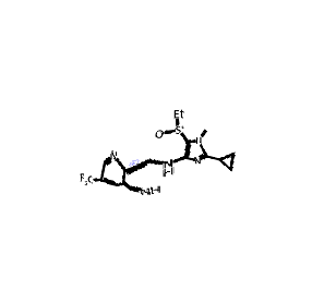 CC[S+]([O-])c1c(N/C=C2/N=CC(C(F)(F)F)=CC2=N)nc(C2CC2)n1C